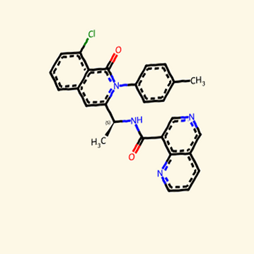 Cc1ccc(-n2c([C@H](C)NC(=O)c3cncc4cccnc34)cc3cccc(Cl)c3c2=O)cc1